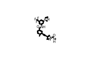 CNC(=O)n1cc(C#Cc2cc(C(=O)Nc3cc(-n4ccnc4)cc(C(F)(F)F)c3)ccc2C)cn1